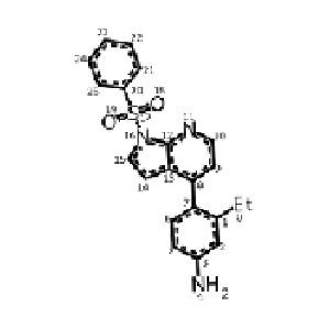 CCc1cc(N)ccc1-c1ccnc2c1ccn2S(=O)(=O)c1ccccc1